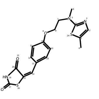 Cc1cnc(N(C)CCOc2ccc(/C=C3/SC(=O)NC3=O)cc2)s1